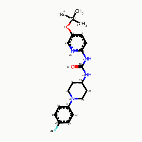 CC(C)(C)[Si](C)(C)Oc1ccc(NC(=O)NC2CCN(c3ccc(F)cc3)CC2)nc1